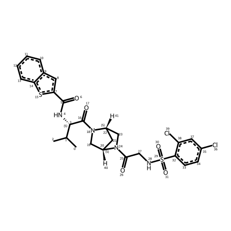 CC(C)[C@H](NC(=O)c1cc2ccccc2s1)C(=O)N1C[C@@H]2C[C@H]1CN2C(=O)CNS(=O)(=O)c1ccc(Cl)cc1Cl